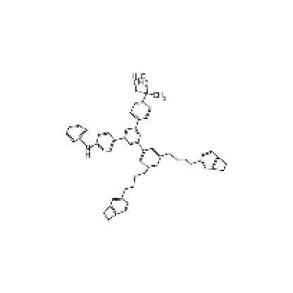 CCC(C)(CC)c1ccc(-c2cc(-c3ccc(Nc4ccccc4)cc3)cc(-c3cc(CCCCc4ccc5c(c4)CC5)cc(CCCCc4ccc5c(c4)CC5)c3)c2)cc1